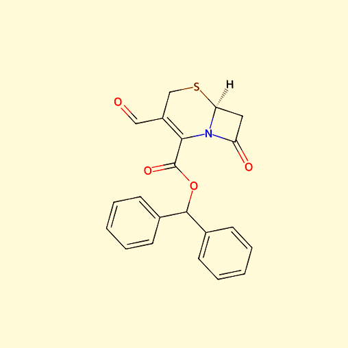 O=CC1=C(C(=O)OC(c2ccccc2)c2ccccc2)N2C(=O)C[C@@H]2SC1